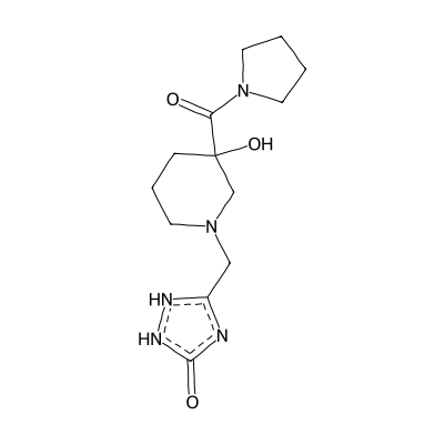 O=C(N1CCCC1)C1(O)CCCN(Cc2nc(=O)[nH][nH]2)C1